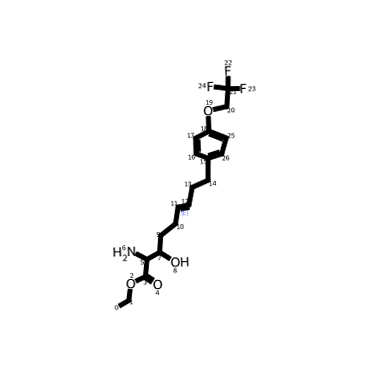 CCOC(=O)C(N)C(O)CC/C=C/CCc1ccc(OCC(F)(F)F)cc1